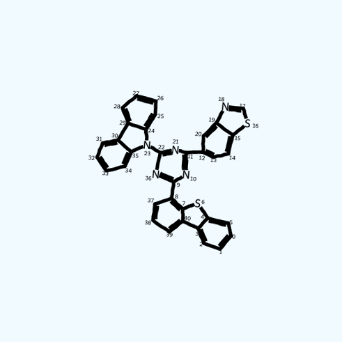 c1ccc2c(c1)sc1c(-c3nc(-c4ccc5scnc5c4)nc(-n4c5ccccc5c5ccccc54)n3)cccc12